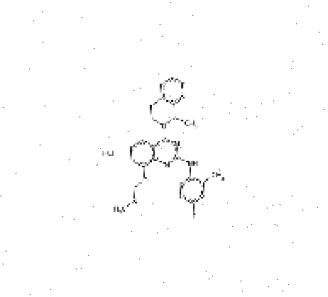 CSCOc1cccc2c(N3CCc4ccccc4C3C)nc(Nc3ccc(F)cc3C)nc12.Cl